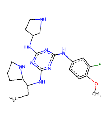 CCC(Nc1nc(Nc2ccc(OC)c(F)c2)nc(NC2CCNC2)n1)C1CCCN1